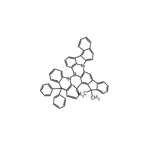 CC1(C)c2ccccc2-c2cc3c4c(c21)-c1cccc2c1N(B4c1cccc4c5c6ccccc6ccc5n-3c14)c1ccccc1C2(c1ccccc1)c1ccccc1